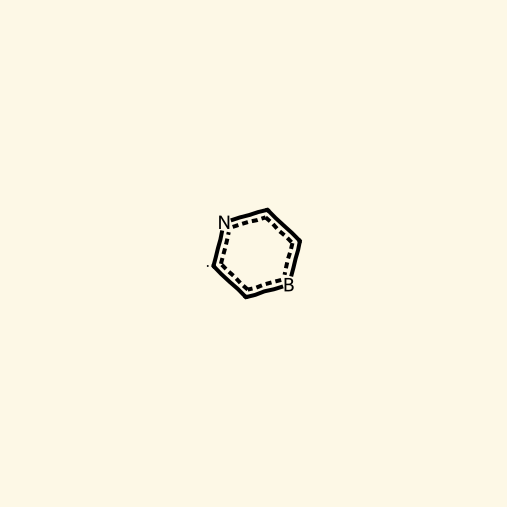 b1c[c]ncc1